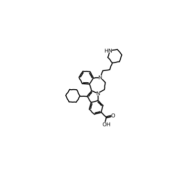 O=C(O)c1ccc2c(C3CCCCC3)c3n(c2c1)CCN(CCC1CCCNC1)c1ccccc1-3